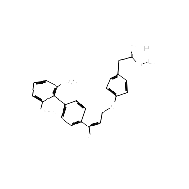 CCOC(Cc1ccc(OCC=C(C)c2ccc(-c3c(OC)cccc3OC)cc2)cc1)C(=O)O